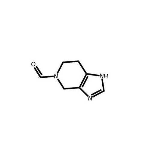 O=[C]N1CCc2[nH]cnc2C1